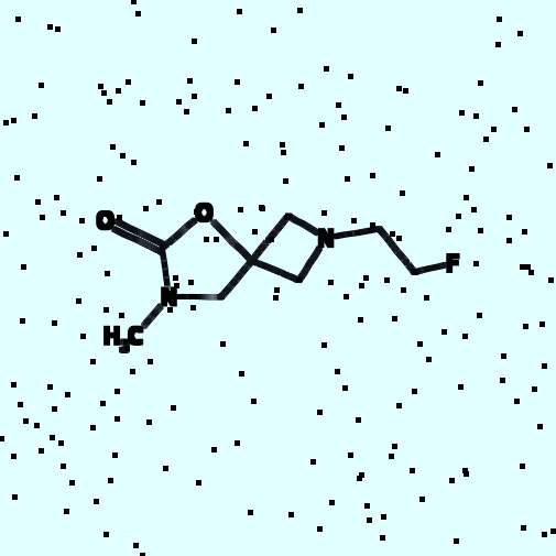 CN1CC2(CN(CCF)C2)OC1=O